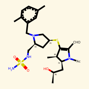 CC(=O)N1C(C=O)=C(S[C@H]2C[C@@H](CNS(N)(=O)=O)N(Cc3cc(C)ccc3C)C2)[C@H](C)[C@@H]1C[C@@H](C)O